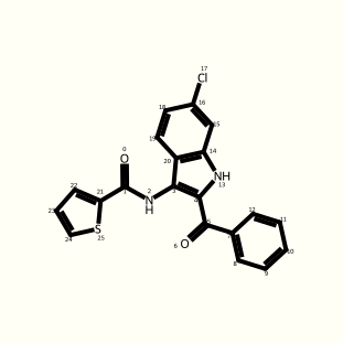 O=C(Nc1c(C(=O)c2ccccc2)[nH]c2cc(Cl)ccc12)c1cccs1